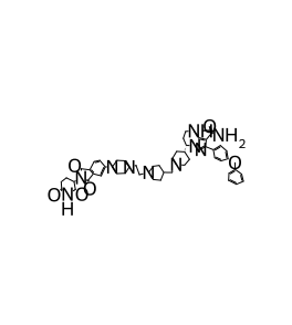 NC(=O)c1c(-c2ccc(Oc3ccccc3)cc2)nn2c1NCC[C@H]2C1CCN(CC2CCN(CCN3CCN(c4ccc5c(c4)C(=O)N(C4CCC(=O)NC4=O)C5=O)CC3)CC2)CC1